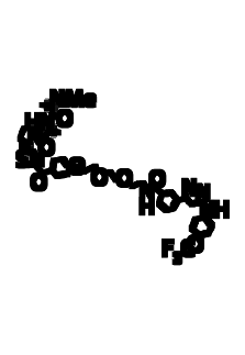 CN[C@@H](C)C(=O)N[C@@H](C)C(=O)N1CCC[C@H]1c1nc(C(=O)c2ccc(OCCOCCOCCNC(=O)c3cccc(-c4cc(Nc5ccc(OC(F)(F)F)cc5)ncn4)c3)cc2)cs1